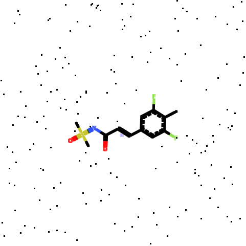 Cc1c(F)cc(/C=C/C(=O)N=S(C)(C)=O)cc1F